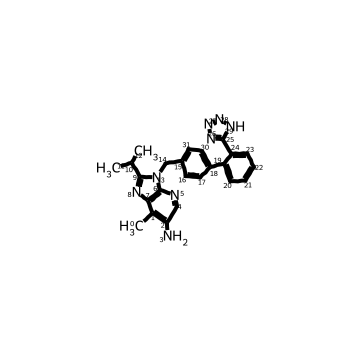 Cc1c(N)cnc2c1nc(C(C)C)n2Cc1ccc(-c2ccccc2-c2nnn[nH]2)cc1